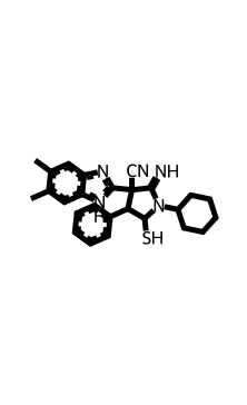 Cc1cc2nc(C3(C#N)C(=N)N(C4CCCCC4)C(S)C3c3ccccc3)[nH]c2cc1C